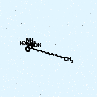 CCCCCCCCCCCCCCCCCC(C(=O)O)c1ccccc1NC(=N)N